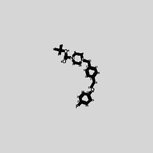 CC(C)(C)OC(=O)N1CCN(Cc2ccc(CCOc3ccc(F)cc3)cc2)CC1